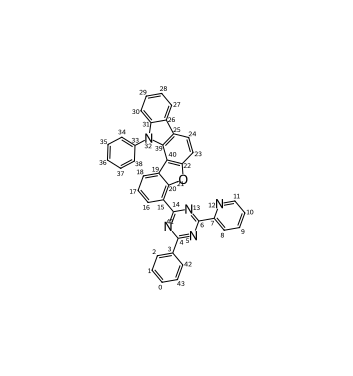 c1ccc(-c2nc(-c3ccccn3)nc(-c3cccc4c3oc3ccc5c6ccccc6n(-c6ccccc6)c5c34)n2)cc1